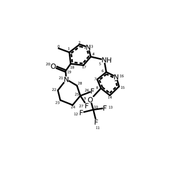 Cc1cnc(Nc2cc(OC(F)(F)F)ccn2)cc1C(=O)N1CCCC(F)(F)C1